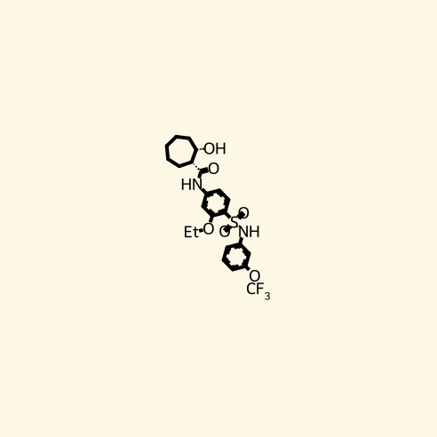 CCOc1cc(NC(=O)[C@@H]2CCCCC[C@@H]2O)ccc1S(=O)(=O)Nc1cccc(OC(F)(F)F)c1